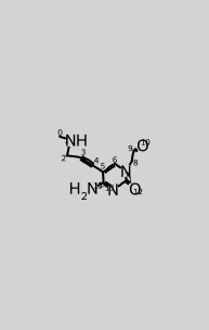 CNCC#Cc1cn(CC=O)c(=O)nc1N